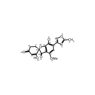 COc1cc(-c2noc(C)n2)c(Cl)c2c1C(=O)[C@@]1(CCC(=O)C=C1O)O2